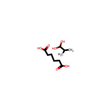 CC(C)C(O)O.O=C(O)CCCCC(=O)O